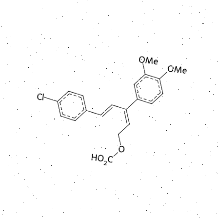 COc1ccc(C(C=Cc2ccc(Cl)cc2)=CCOC(=O)O)cc1OC